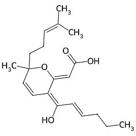 CCC/C=C/C(O)=C1/C=CC(C)(CCC=C(C)C)O/C1=C\C(=O)O